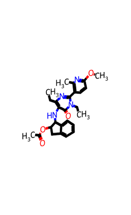 CCc1nc(-c2ccc(OC)nc2C)n(CC)c(=O)c1NC1c2ccccc2CC1OC(C)=O